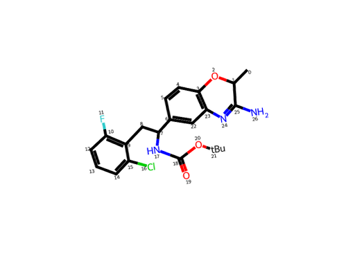 CC1Oc2ccc(C(Cc3c(F)cccc3Cl)NC(=O)OC(C)(C)C)cc2N=C1N